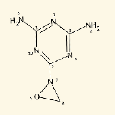 Nc1nc(N)nc(N2CO2)n1